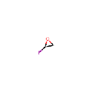 IC1CO1